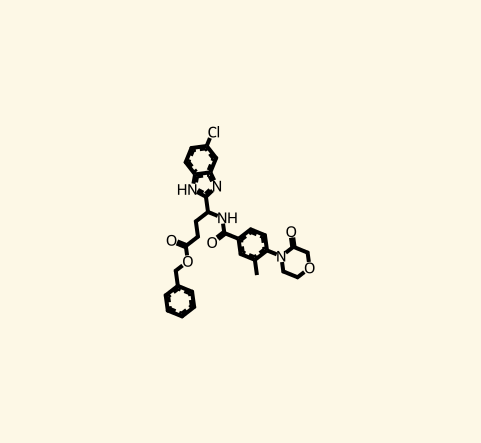 Cc1cc(C(=O)NC(CCC(=O)OCc2ccccc2)c2nc3cc(Cl)ccc3[nH]2)ccc1N1CCOCC1=O